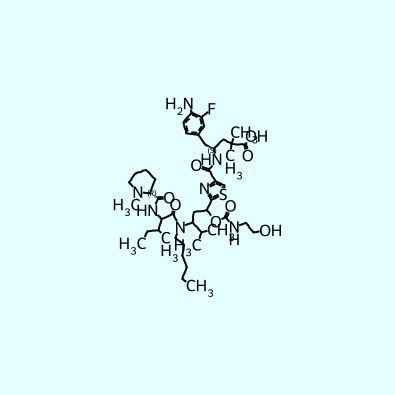 CCCCCCN(C(=O)C(NC(=O)[C@H]1CCCCN1C)C(C)CC)C(CC(OC(=O)NCCO)c1nc(C(=O)N[C@@H](Cc2ccc(N)c(F)c2)CC(C)(C)C(=O)O)cs1)C(C)C